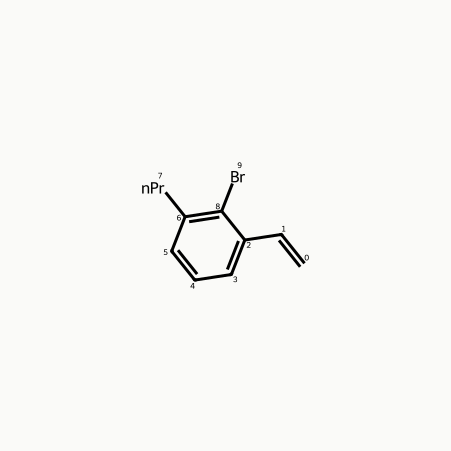 C=Cc1cccc(CCC)c1Br